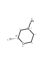 CC(C)B1CCO[C@H](F)C1